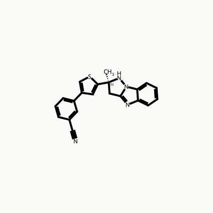 C[C@@]1(c2cc(-c3cccc(C#N)c3)cs2)Cc2nc3ccccc3n2N1